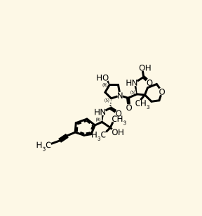 CC#Cc1ccc([C@@H](NC(=O)[C@@H]2C[C@@H](O)CN2C(=O)[C@@H](NC(=O)O)C2(C)CCOCC2)C(C)(C)O)cc1